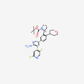 CC(C)(C)OC(=O)N1CCC[C@H]1c1cc(-c2cnc(N)c(-c3cc(F)ncc3F)c2)ccc1C1CCOCC1